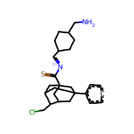 NCC1CCC(/C=N/C(=S)C23CC4CC(c5ccccc5)(CC(C2)C4CCl)C3)CC1